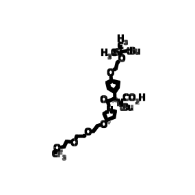 CC(C)(C)N(C(=O)O)[C@H](C(=O)N1CC[C@H](OCCOCCOCCOC(F)(F)F)C1)c1ccc(OCCO[Si](C)(C)C(C)(C)C)cc1